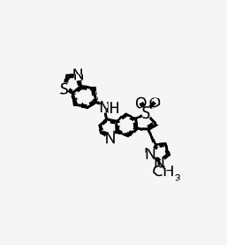 Cn1ccc(C2=CS(=O)(=O)c3cc4c(Nc5ccc6scnc6c5)ccnc4cc32)n1